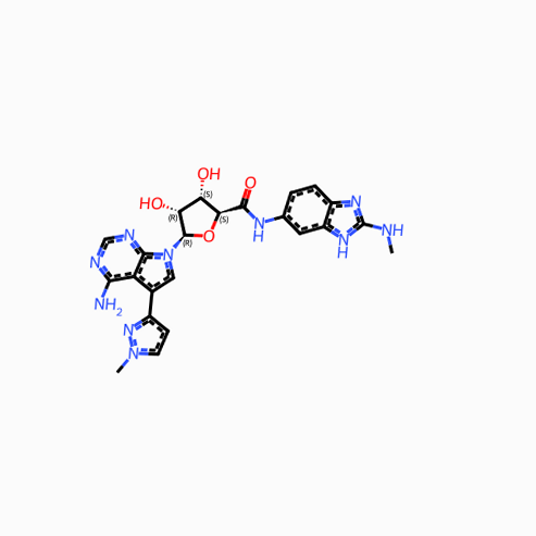 CNc1nc2ccc(NC(=O)[C@H]3O[C@@H](n4cc(-c5ccn(C)n5)c5c(N)ncnc54)[C@H](O)[C@@H]3O)cc2[nH]1